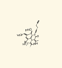 C#CCCC#COC(=O)C1=C(C)NC(C)=C(C(=O)O)C1c1cc(=CO)c(=CO)cc1Br